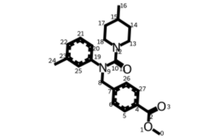 COC(=O)c1ccc(CN(C(=O)N2CCC(C)CC2)c2cccc(C)c2)cc1